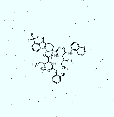 CCC(C)[C@H](NC(=O)Cc1ccccc1F)C(=O)N[C@]1(C(=O)N[C@H](C(=O)Nc2cccc3ncccc23)C(C)CC)CCc2[nH]c3c(C(F)(F)F)cccc3c2C1